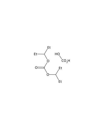 CCC(CC)OC(=O)OC(CC)CC.O=C(O)O